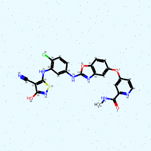 CNC(=O)c1cc(Oc2ccc3oc(Nc4ccc(Cl)c(Nc5snc(O)c5C#N)c4)nc3c2)ccn1